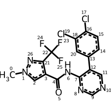 Cn1cc(C(=O)Nc2ncncc2-c2ccc(Cl)c(Cl)c2)c(C(F)(F)F)n1